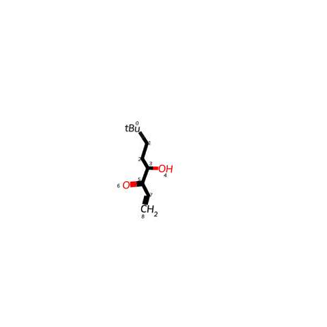 [CH2]C(C)(C)CCC(O)C(=O)C=C